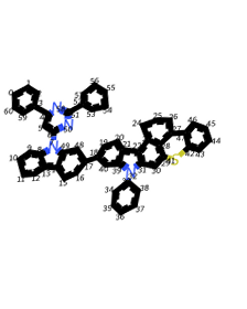 c1ccc(-c2cc(-n3c4ccccc4c4ccc(-c5ccc6c7c8cccc9c8c(cc7n(-c7ccccc7)c6c5)Sc5ccccc5-9)cc43)nc(-c3ccccc3)n2)cc1